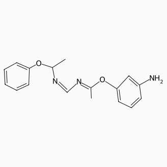 C/C(=N\C=N/C(C)Oc1ccccc1)Oc1cccc(N)c1